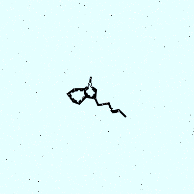 CC=CCCc1cn(C)c2ccccc12